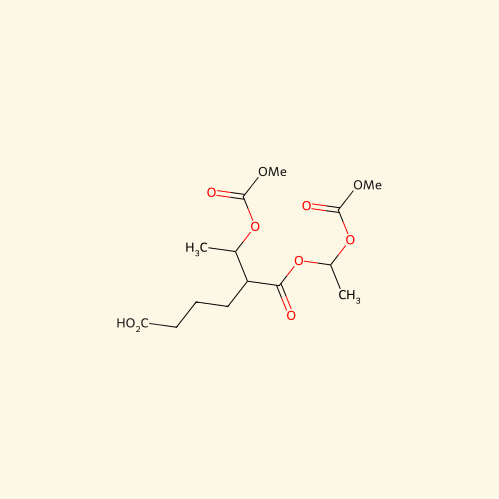 COC(=O)OC(C)OC(=O)C(CCCC(=O)O)C(C)OC(=O)OC